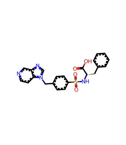 O=C(O)[C@H](Cc1ccccc1)NS(=O)(=O)c1ccc(Cn2cnc3cnccc32)cc1